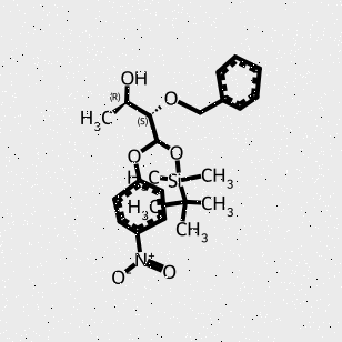 C[C@@H](O)[C@H](OCc1ccccc1)C(Oc1ccc([N+](=O)[O-])cc1)O[Si](C)(C)C(C)(C)C